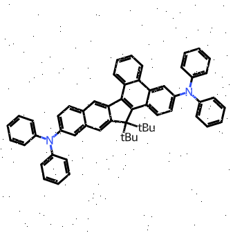 CC(C)(C)C1(C(C)(C)C)c2cc3cc(N(c4ccccc4)c4ccccc4)ccc3cc2-c2c1c1ccc(N(c3ccccc3)c3ccccc3)cc1c1ccccc21